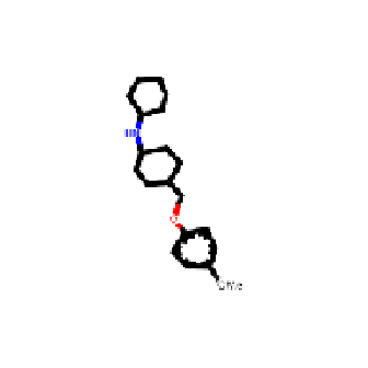 COc1ccc(OCC2CCC(NC3CCCCC3)CC2)cc1